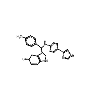 Cc1ccc(/C(Nc2ccc(-c3c[nH]cn3)cc2)=C2/CNC3=C2CC(=O)C=C3)cc1